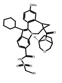 COc1ccc2c(c1)C1CC1(C(=O)N1C3CC[C@@H]1COC3)Cn1c-2c(C2CCCCC2)c2ccc(C(=O)NS(=O)(=O)CC(C)C)cc21